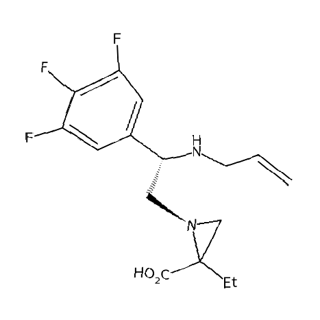 C=CCN[C@H](C[N@@]1CC1(CC)C(=O)O)c1cc(F)c(F)c(F)c1